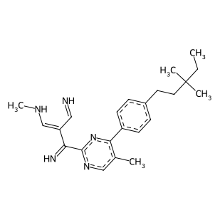 CCC(C)(C)CCc1ccc(-c2nc(C(=N)/C(C=N)=C/NC)ncc2C)cc1